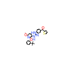 COc1ccc(Nc2nc3cc(C(=O)c4cccs4)ccc3[nH]2)c(Oc2ccccc2C(C)(C)C)n1